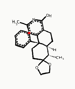 Cc1nc(O)c2c(n1)[C@@]1(c3ccccc3)CCC3(OCCO3)[C@@H](C)[C@@H]1CC2